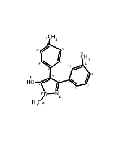 Cc1ccc(-c2c(-c3cccc(C)c3)nn(C)c2O)cc1